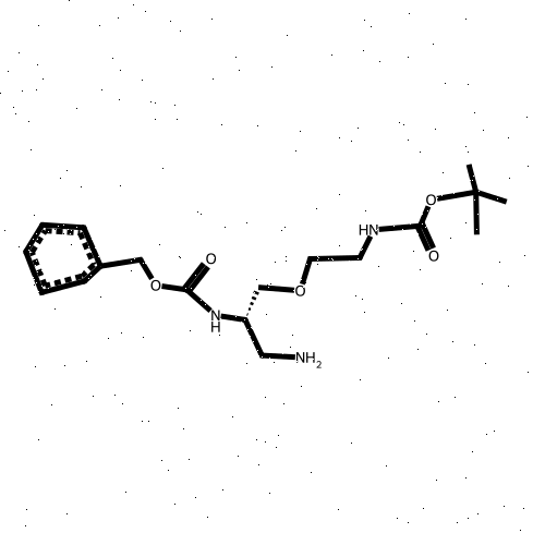 CC(C)(C)OC(=O)NCCOC[C@H](CN)NC(=O)OCc1ccccc1